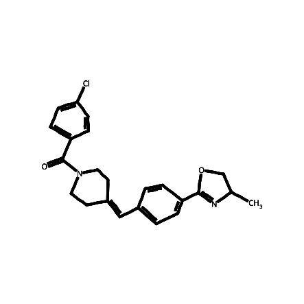 CC1COC(c2ccc(C=C3CCN(C(=O)c4ccc(Cl)cc4)CC3)cc2)=N1